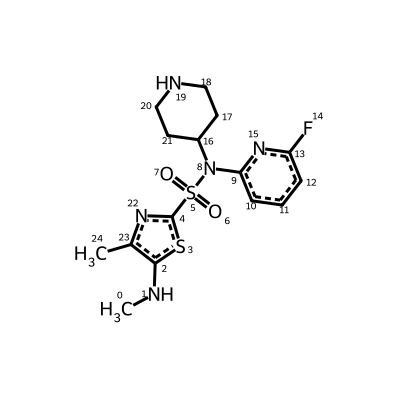 CNc1sc(S(=O)(=O)N(c2cccc(F)n2)C2CCNCC2)nc1C